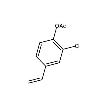 C=Cc1ccc(OC(C)=O)c(Cl)c1